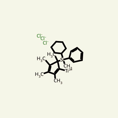 CC1=C(C)C(C)([Si](C)(c2ccccc2)C2CCCCC2)[C]([Ti+3])=C1C.[Cl-].[Cl-].[Cl-]